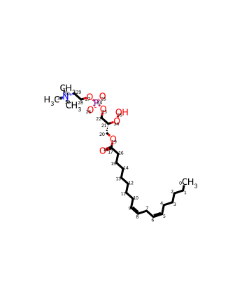 CCCCC/C=C\C/C=C\CCCCCCCC(=O)OC[C@H](COP(=O)([O-])OCC[N+](C)(C)C)OO